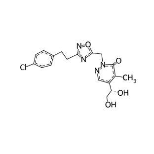 Cc1c([C@H](O)CO)cnn(Cc2nc(CCc3ccc(Cl)cc3)no2)c1=O